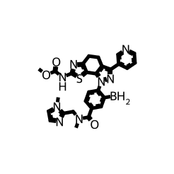 Bc1cc(C(=O)N(C)Cc2nccn2C)ccc1-n1nc(-c2cccnc2)c2c1-c1sc(NC(=O)OC)nc1CC2